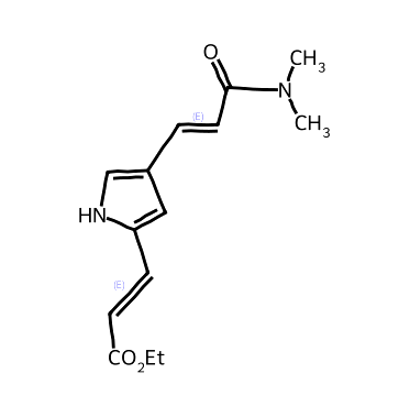 CCOC(=O)/C=C/c1cc(/C=C/C(=O)N(C)C)c[nH]1